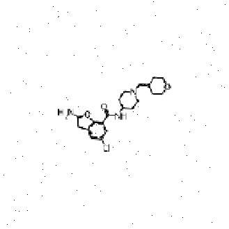 NC1Cc2cc(Cl)cc(C(=O)NC3CCN(CC4CCOCC4)CC3)c2O1